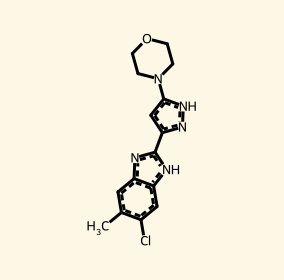 Cc1cc2nc(-c3cc(N4CCOCC4)[nH]n3)[nH]c2cc1Cl